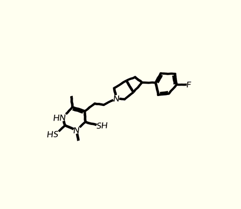 CC1=C(CCN2CC3CC(c4ccc(F)cc4)C3C2)C(S)N(C)C(S)N1